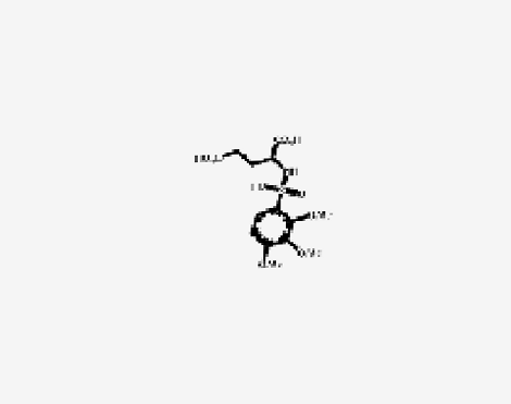 COc1ccc(P(=O)(O)NC(CCC(=O)O)C(=O)O)c(OC)c1OC